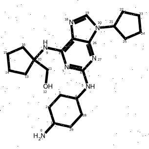 NC1CCC(Nc2nc(NC3(CO)CCCC3)c3ncn(C4CCCC4)c3n2)CC1